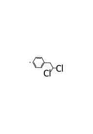 ClC(Cl)Cc1cc[c]cc1